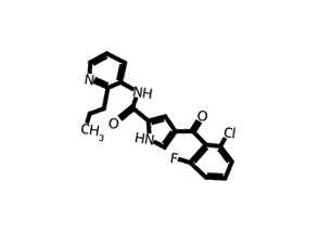 CCCc1ncccc1NC(=O)c1cc(C(=O)c2c(F)cccc2Cl)c[nH]1